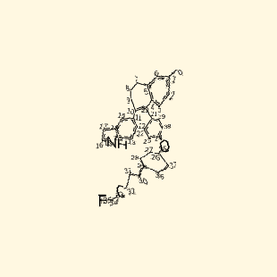 Cc1ccc2c(c1)CCCC(c1ccc3[nH]ccc3c1)=C2c1ccc(OC2CCC(CCCCCF)CC2)cc1